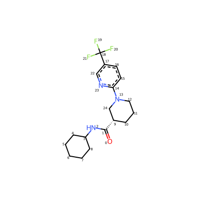 O=C(NC1CCCCC1)[C@H]1CCCN(c2ccc(C(F)(F)F)cn2)C1